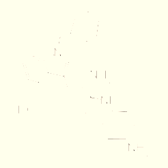 Cl.NC1CCC(NC(=O)[C@@H](N)Cc2cn(CC3CCCCC3)c3ccccc23)CC1